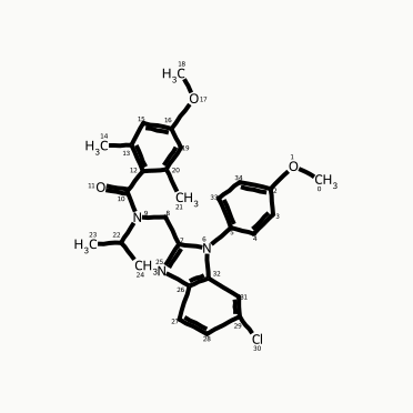 COc1ccc(-n2c(CN(C(=O)c3c(C)cc(OC)cc3C)C(C)C)nc3ccc(Cl)cc32)cc1